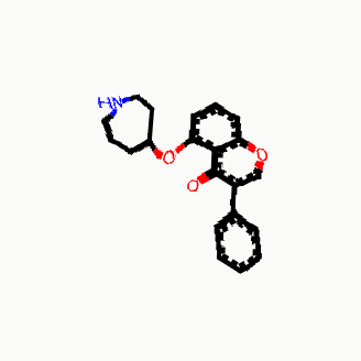 O=c1c(-c2ccccc2)coc2cccc(OC3CCCNCC3)c12